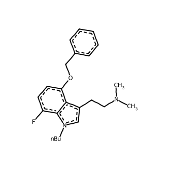 CCCCn1cc(CCN(C)C)c2c(OCc3ccccc3)ccc(F)c21